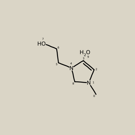 CN1C=CN(CCO)C1.O